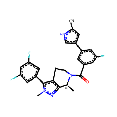 C[C@H]1c2nn(C)c(-c3cc(F)cc(F)c3)c2CCN1C(=O)c1cc(F)cc(-c2c[nH]c(C#N)c2)c1